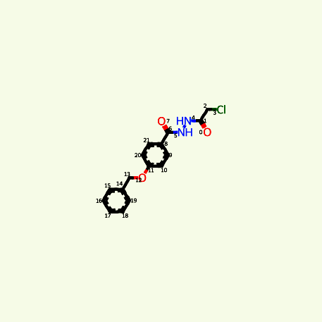 O=C(CCl)NNC(=O)c1ccc(OCc2ccccc2)cc1